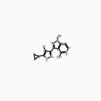 CC(C)n1nc(-c2noc(C3CC3)c2I)c2c(Cl)nccc21